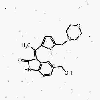 CC(=C1C(=O)Nc2ccc(CO)cc21)c1ccc(CN2CCOCC2)[nH]1